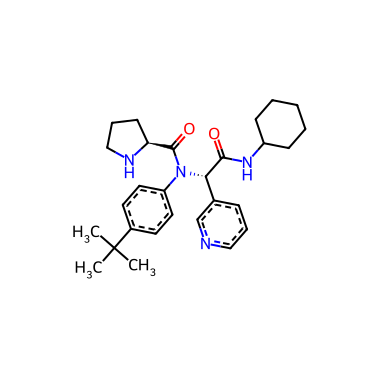 CC(C)(C)c1ccc(N(C(=O)[C@@H]2CCCN2)[C@H](C(=O)NC2CCCCC2)c2cccnc2)cc1